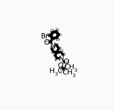 CC(C)(C)OC(=O)N1CCC2(CC1)CCN(C(=O)c1ccccc1Br)CC2